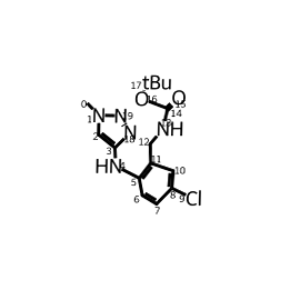 Cn1cc(Nc2ccc(Cl)cc2CNC(=O)OC(C)(C)C)nn1